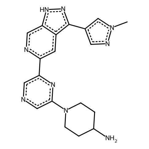 Cn1cc(-c2n[nH]c3cnc(-c4cncc(N5CCC(N)CC5)n4)cc23)cn1